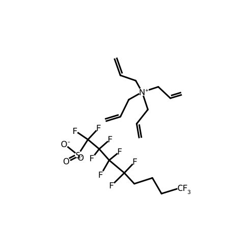 C=CC[N+](CC=C)(CC=C)CC=C.O=S(=O)([O-])C(F)(F)C(F)(F)C(F)(F)C(F)(F)CCCC(F)(F)F